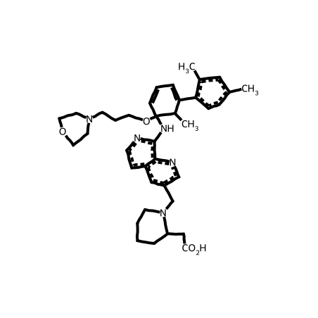 Cc1ccc(C2=CC=CC(Nc3nccc4cc(CN5CCCCC5CC(=O)O)cnc34)(OCCCN3CCOCC3)C2C)c(C)c1